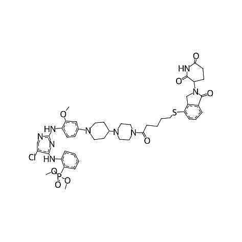 COc1cc(N2CCC(N3CCN(C(=O)CCCCSc4cccc5c4CN(C4CCC(=O)NC4=O)C5=O)CC3)CC2)ccc1Nc1ncc(Cl)c(Nc2ccccc2P(=O)(OC)OC)n1